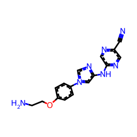 N#Cc1cnc(Nc2cn(-c3ccc(OCCN)cc3)cn2)cn1